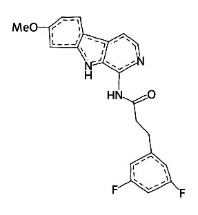 COc1ccc2c(c1)[nH]c1c(NC(=O)CCc3cc(F)cc(F)c3)nccc12